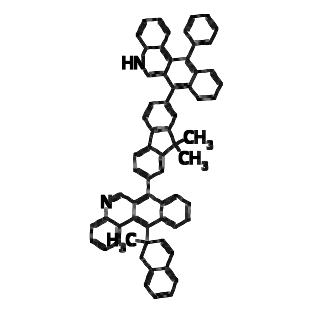 CC1(c2c3ccccc3c(-c3ccc4c(c3)C(C)(C)c3cc(-c5c6c(c(-c7ccccc7)c7ccccc57)=C5C=CC=CC5NC=6)ccc3-4)c3cnc4ccccc4c23)C=Cc2ccccc2C1